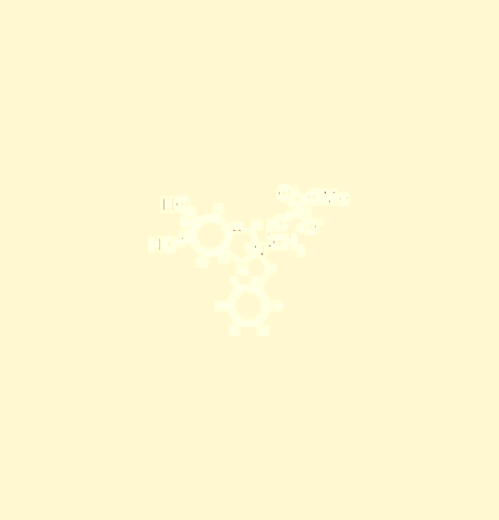 COS(=O)(=O)[O-].C[N+]1(Cc2ccccc2)Cc2cc(O)c(O)cc2C1